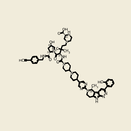 C#Cc1ccc(CNC(=O)[C@@H]2C[C@@H](O)CN2C(=O)[C@H](NC(=O)N2CCC(N3CCC(c4cnc(N5CCc6[nH]c7nnc(-c8ccccc8O)cc7c6[C@H]5C)nc4)CC3)CC2)C(C)(C)CCN2CCN[C@H](C(=O)O)C2)cc1